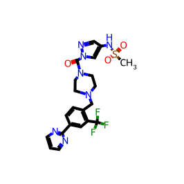 CS(=O)(=O)Nc1cnn(C(=O)N2CCN(Cc3ccc(-c4ncccn4)cc3C(F)(F)F)CC2)c1